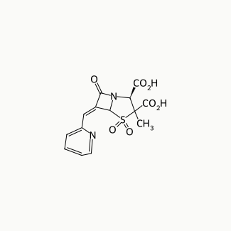 CC1(C(=O)O)[C@H](C(=O)O)N2C(=O)/C(=C/c3ccccn3)C2S1(=O)=O